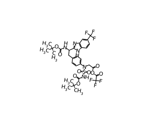 CC(C)(C)OC(=O)NC(Cc1ccc(N(CC(=O)OC(=O)C(F)(F)F)S(=O)(=O)NC(=O)OC(C)(C)C)cc1)c1nc2cc(C(F)(F)F)ccc2[nH]1